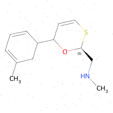 CNC[C@H]1OC(C2C=CC=C(C)C2)C=CS1